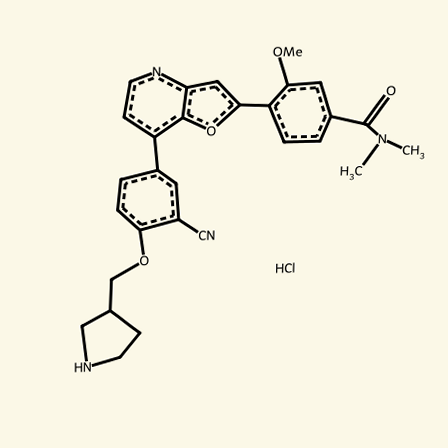 COc1cc(C(=O)N(C)C)ccc1-c1cc2nccc(-c3ccc(OCC4CCNC4)c(C#N)c3)c2o1.Cl